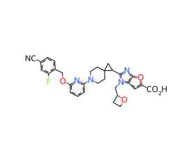 N#Cc1ccc(COc2cccc(N3CCC4(CC3)CC4c3nc4oc(C(=O)O)cc4n3CC3CCO3)n2)c(F)c1